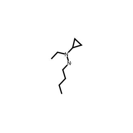 CCCC[N]N(CC)C1CC1